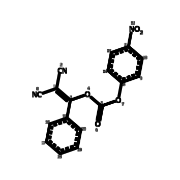 N#CC(C#N)=C(OC(=O)Oc1ccc([N+](=O)[O-])cc1)c1ccccc1